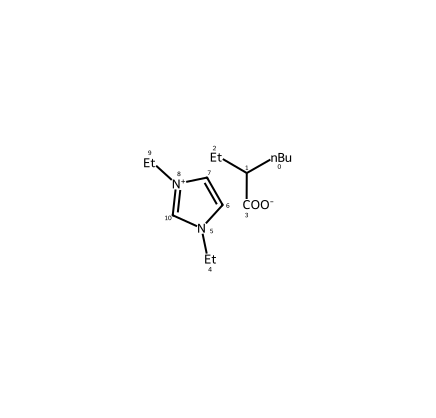 CCCCC(CC)C(=O)[O-].CCn1cc[n+](CC)c1